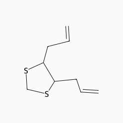 C=CCC1SCSC1CC=C